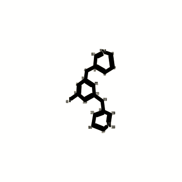 Ic1cc(Cc2cccnc2)cc(Cc2cccnc2)c1